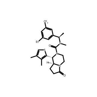 CCc1cc([C@@H](C)N(C)C(=O)N2CCN3C(=O)CC[C@H]3[C@@H]2c2scc(C)c2C)cc(C(F)(F)F)c1